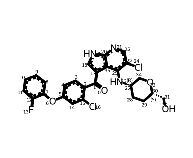 O=C(c1ccc(Oc2ccccc2F)cc1Cl)c1c[nH]c2ncc(Cl)c(N[C@@H]3CC[C@@H](CO)OC3)c12